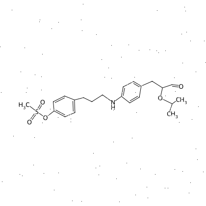 CC(C)OC(C=O)Cc1ccc(NCCCc2ccc(OS(C)(=O)=O)cc2)cc1